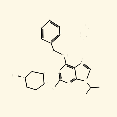 CC(C)n1cnc2c(NCc3ccccc3)nc(N[C@H]3CC[C@H](N)CC3)nc21.Cl.Cl.Cl